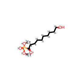 CCOP(=O)(OCC)C(=O)CCCCCCCCCO